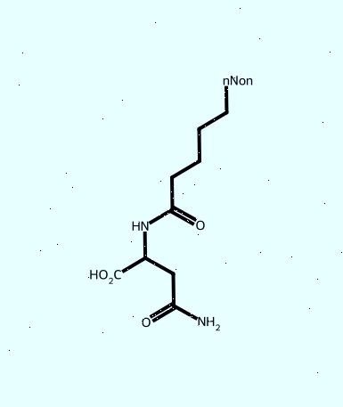 CCCCCCCCCCCCCC(=O)NC(CC(N)=O)C(=O)O